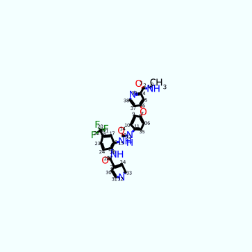 CNC(=O)c1cc(Oc2ccc(NC(=O)Nc3cc(C(F)(F)F)ccc3NC(=O)c3ccncc3)cc2)ccn1